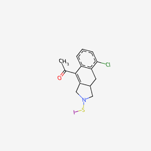 CC(=O)C1=C2CN(SI)CC2Cc2c(Cl)cccc21